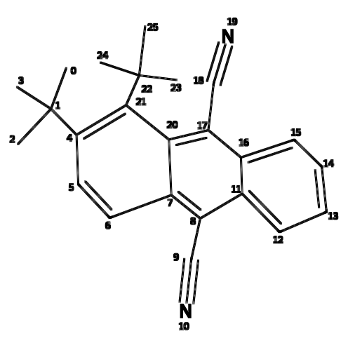 CC(C)(C)c1ccc2c(C#N)c3ccccc3c(C#N)c2c1C(C)(C)C